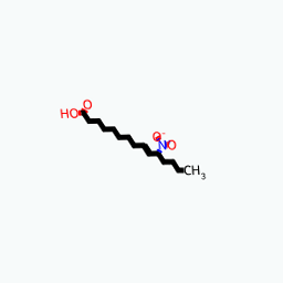 CCCCC(C=CCCCCCCCC(=O)O)[N+](=O)[O-]